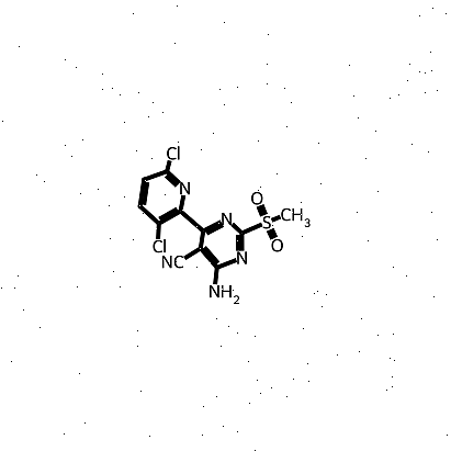 CS(=O)(=O)c1nc(N)c(C#N)c(-c2nc(Cl)ccc2Cl)n1